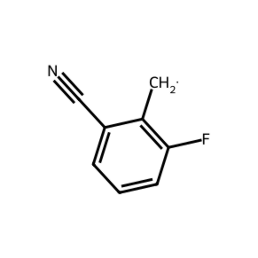 [CH2]c1c(F)cccc1C#N